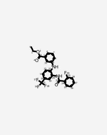 CCOC(=O)c1cccc(Nc2ccc(C(F)(F)F)cc2NC(=O)c2ccccc2F)c1